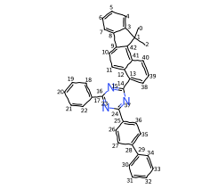 CC1(C)c2ccccc2-c2ccc3c(-c4nc(-c5ccccc5)nc(-c5ccc(-c6ccccc6)cc5)n4)cccc3c21